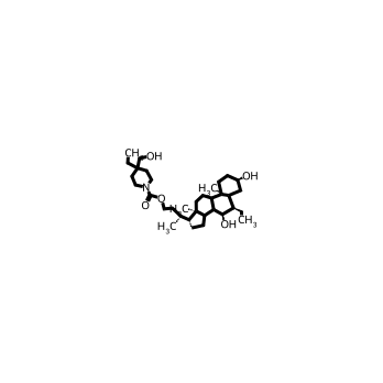 CC[C@@H]1C2C[C@H](O)CC[C@]2(C)C2CC[C@@]3(C)C(CC[C@@H]3[C@H](C)CCOC(=O)N3CCC(CC)(CO)CC3)C2[C@@H]1O